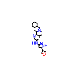 C=C(/C=N\C(C(=C)C)=C(/C)N(C)CC1CCCCC1)Nc1cc(C2COC2)[nH]n1